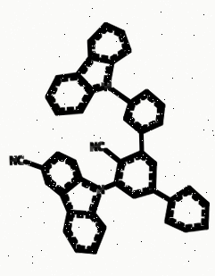 N#Cc1ccc2c(c1)c1ccccc1n2-c1cc(-c2ccccc2)cc(-c2cccc(-n3c4ccccc4c4ccccc43)c2)c1C#N